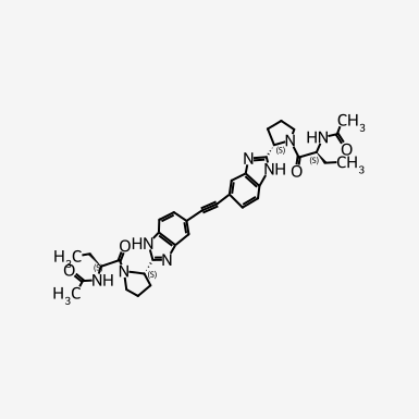 CC[C@H](NC(C)=O)C(=O)N1CCC[C@H]1c1nc2cc(C#Cc3ccc4[nH]c([C@@H]5CCCN5C(=O)[C@H](CC)NC(C)=O)nc4c3)ccc2[nH]1